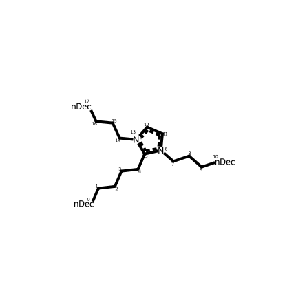 CCCCCCCCCCCCCCc1n(CCCCCCCCCCCCC)cc[n+]1CCCCCCCCCCCCC